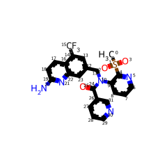 CS(=O)(=O)c1ncccc1N(Cc1cc(C(F)(F)F)c2ccc(N)nc2c1)C(=O)c1cccnc1